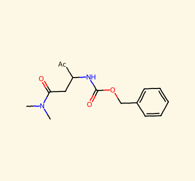 CC(=O)C(CC(=O)N(C)C)NC(=O)OCc1ccccc1